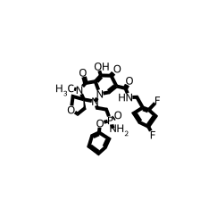 CN1C(=O)c2c(O)c(=O)c(C(=O)NCc3ccc(F)cc3F)cn2N(CCP(N)(=O)Oc2ccccc2)[C@@]12CCOC2